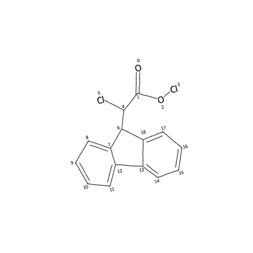 O=C(OCl)C(Cl)C1c2ccccc2-c2ccccc21